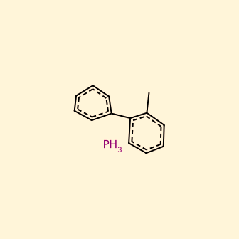 Cc1ccccc1-c1ccccc1.P